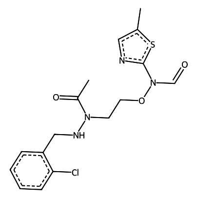 CC(=O)N(CCON(C=O)c1ncc(C)s1)NCc1ccccc1Cl